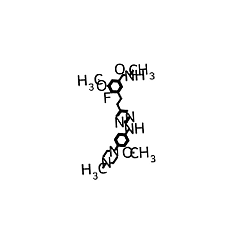 CNC(=O)c1cc(CCc2cnc(Nc3ccc(N4CCN(C)CC4)c(OC)c3)nc2)c(F)c(OC)c1